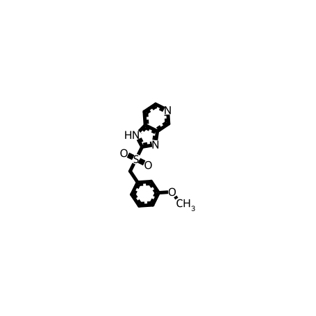 COc1cccc(CS(=O)(=O)c2nc3cnccc3[nH]2)c1